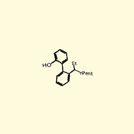 CCCCCC(CC)c1ccccc1-c1ccccc1O